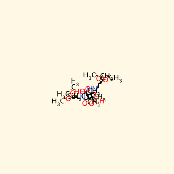 CCO[Si](C)(CCCNC(=O)C1(C)C(C)(C(=O)O)C(C)(C(=O)NCCC[Si](C)(OCC)OCC)C1(C)C(=O)O)OCC